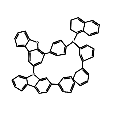 C1=CCCC(c2cccc(N(C3=c4ccccc4=CCC3)c3ccc(-c4cc(-n5c6ccccc6c6ccc(-c7ccccc7)cc65)cc5c4oc4ccccc45)cc3)c2)=C1